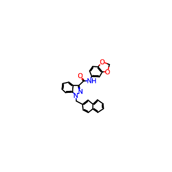 O=C(Nc1ccc2c(c1)OCO2)c1nn(Cc2ccc3ccccc3c2)c2ccccc12